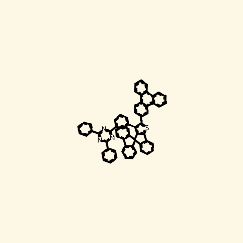 c1ccc(-c2nc(-c3ccccc3)nc(-c3cccc(-c4c(-c5ccc6c7ccccc7c7ccccc7c6c5)sc5c4C4(c6ccccc6-c6ccccc64)c4ccccc4-5)c3)n2)cc1